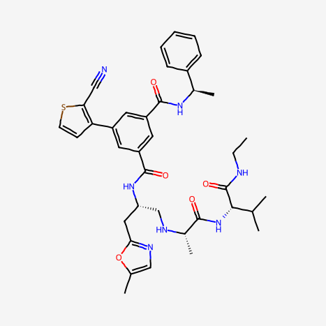 CCNC(=O)[C@@H](NC(=O)[C@H](C)NC[C@H](Cc1ncc(C)o1)NC(=O)c1cc(C(=O)N[C@H](C)c2ccccc2)cc(-c2ccsc2C#N)c1)C(C)C